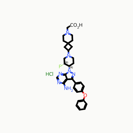 Cl.Nc1ncnc2c1c(-c1ccc(Oc3ccccc3)cc1)nn2[C@@H]1CCN(C2CC3(CCN(CC(=O)O)CC3)C2)C[C@H]1F